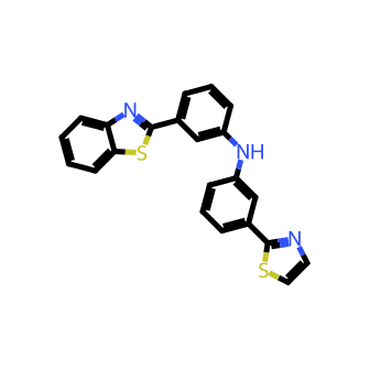 c1cc(Nc2cccc(-c3nc4ccccc4s3)c2)cc(-c2nccs2)c1